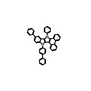 c1ccc(-c2ccc(-n3c4ccc(-c5ccccc5)cc4c4c3c3c5ccccc5c5ccccc5c3n4-c3ccccc3)cc2)cc1